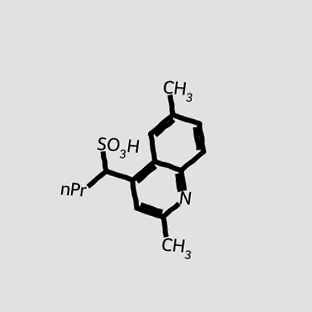 CCCC(c1cc(C)nc2ccc(C)cc12)S(=O)(=O)O